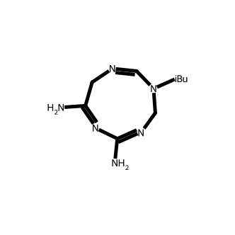 CCC(C)N1/C=N\C/C(N)=N\C(N)=N/C1